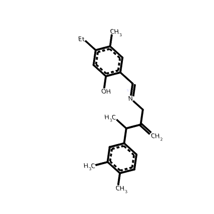 C=C(C/N=C/c1cc(C)c(CC)cc1O)C(C)c1ccc(C)c(C)c1